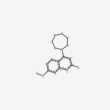 COc1ccc2c(N3CCCCCC3)cc(C)nc2c1